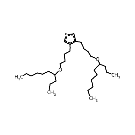 CCCCCCC(CCC)OCCCCc1cscc1CCCCOC(CCC)CCCCCC